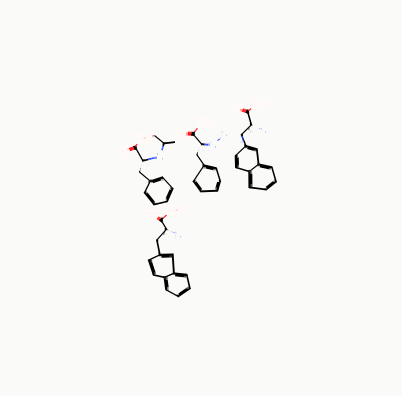 CC(C)N[C@@H](Cc1ccccc1)C(=O)O.NN[C@@H](Cc1ccccc1)C(=O)O.N[C@@H](Cc1ccc2ccccc2c1)C(=O)O.N[C@H](Cc1ccc2ccccc2c1)C(=O)O